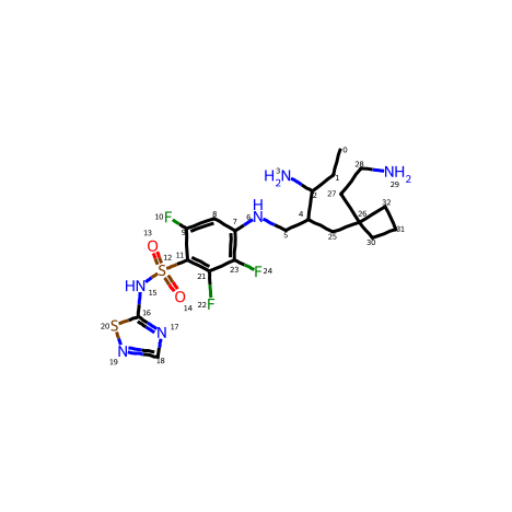 CCC(N)C(CNc1cc(F)c(S(=O)(=O)Nc2ncns2)c(F)c1F)CC1(CCN)CCC1